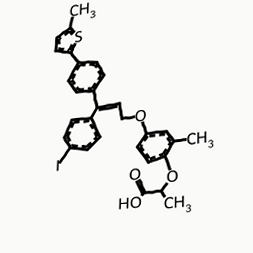 Cc1ccc(-c2ccc(/C(=C/COc3ccc(OC(C)C(=O)O)c(C)c3)c3ccc(I)cc3)cc2)s1